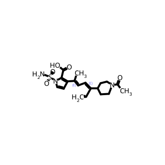 C=C/C(=C\C=C(/C)c1ccn(S(N)(=O)=O)c1C(=O)O)C1CCN(C(C)=O)CC1